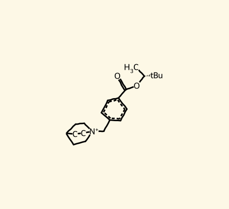 C[C@@H](OC(=O)c1ccc(C[N+]23CCC(CC2)CC3)cc1)C(C)(C)C